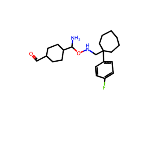 NC(ONCC1(c2ccc(F)cc2)CCCCCC1)C1CCC(C=O)CC1